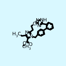 CCCc1nc(CC)c(C(=O)OC)n1Cc1ccc(-c2ccccc2-c2nnn[nH]2)cc1